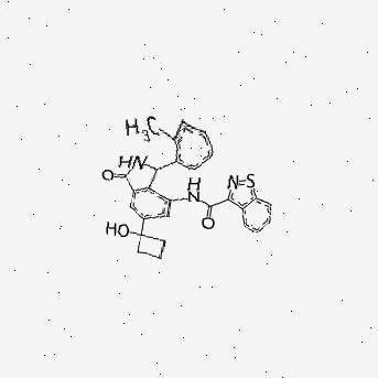 Cc1ccccc1C1NC(=O)c2cc(C3(O)CCC3)cc(NC(=O)c3nsc4ccccc34)c21